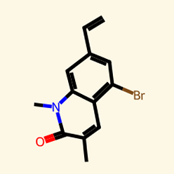 C=Cc1cc(Br)c2cc(C)c(=O)n(C)c2c1